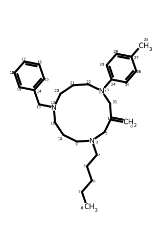 C=C1CN(CCCCC)CCCN(Cc2ccccc2)CCCN(c2ccc(C)cc2)C1